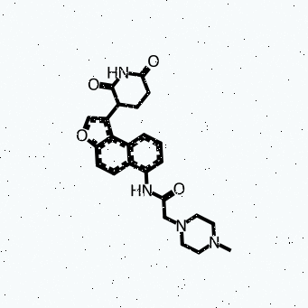 CN1CCN(CC(=O)Nc2cccc3c2ccc2occ(C4CCC(=O)NC4=O)c23)CC1